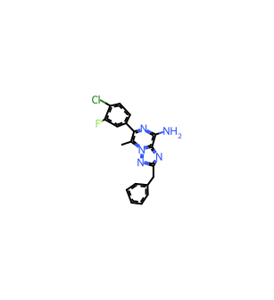 Cc1c(-c2ccc(Cl)c(F)c2)nc(N)c2nc(Cc3ccccc3)nn12